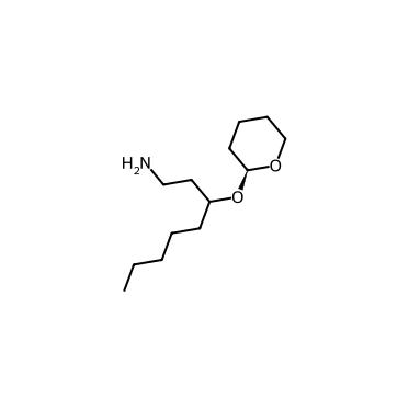 CCCCCC(CCN)O[C@H]1CCCCO1